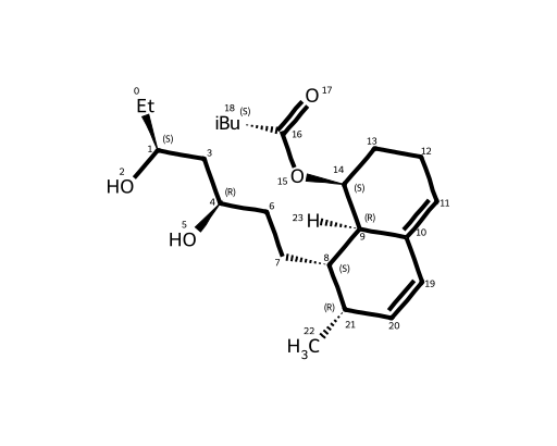 CC[C@H](O)C[C@H](O)CC[C@@H]1[C@@H]2C(=CCC[C@@H]2OC(=O)[C@@H](C)CC)C=C[C@@H]1C